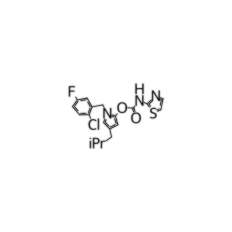 CC(C)Cc1cc(OC(=O)Nc2nccs2)n(Cc2cc(F)ccc2Cl)c1